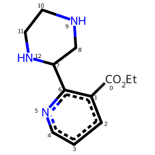 CCOC(=O)c1cccnc1C1CNCCN1